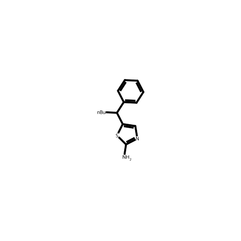 CCCCC(c1ccccc1)c1cnc(N)s1